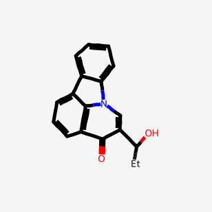 CCC(O)c1cn2c3ccccc3c3cccc(c1=O)c32